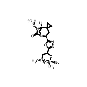 CN(C)CC(O[Si](C)(C)C(C)(C)C)c1nnc([C@@H]2CC3(CC3)[C@@H]3CN2C(=O)N3OS(=O)(=O)O)o1